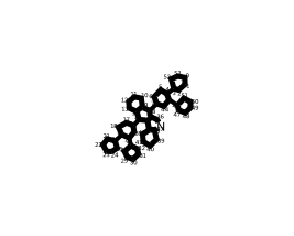 c1ccc(-c2ccc(-c3c4ccccc4c(-c4ccc(-c5ccccc5)c(-c5ccccc5)c4)c4c3cnc3ccccc34)cc2-c2ccccc2)cc1